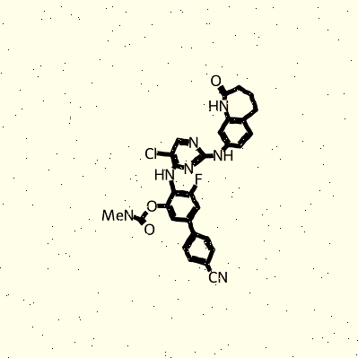 CNC(=O)Oc1cc(-c2ccc(C#N)cc2)cc(F)c1Nc1nc(Nc2ccc3c(c2)NC(=O)CCC3)ncc1Cl